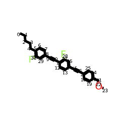 CCCCCc1ccc(C#Cc2ccc(C#Cc3ccc(COC)cc3)cc2F)cc1F